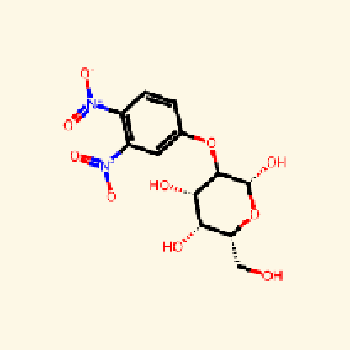 O=[N+]([O-])c1ccc(O[C@@H]2[C@@H](O)[C@@H](O)[C@@H](CO)O[C@H]2O)cc1[N+](=O)[O-]